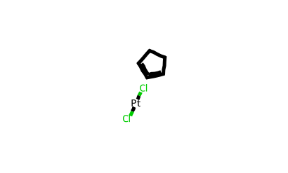 C1=CCCC=1.[Cl][Pt][Cl]